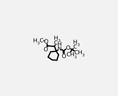 COC(=O)C(C)C1(NC(=O)OC(C)(C)C)CCCCC1